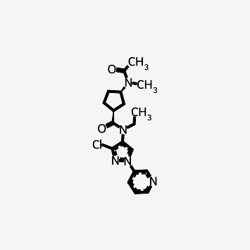 CCN(C(=O)[C@H]1CC[C@@H](N(C)C(C)=O)C1)c1cn(-c2cccnc2)nc1Cl